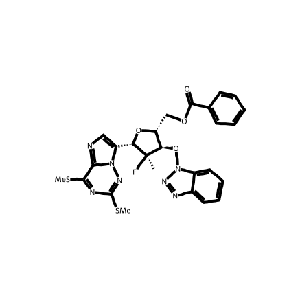 CSc1nc(SC)c2ncc([C@@H]3O[C@H](COC(=O)c4ccccc4)[C@@H](On4nnc5ccccc54)[C@@]3(C)F)n2n1